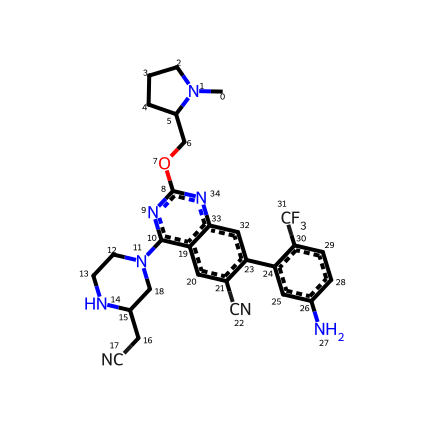 CN1CCCC1COc1nc(N2CCNC(CC#N)C2)c2cc(C#N)c(-c3cc(N)ccc3C(F)(F)F)cc2n1